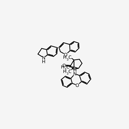 C1=Cc2ccccc2OC1.CC12CCC(CC1=O)C2(C)C.c1ccc2c(c1)CCN2.c1ccc2c(c1)Nc1ccccc1O2